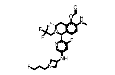 CNc1ccc2c(c1OC=O)C[C@@H](C)N(CC(F)(F)F)[C@@H]2c1ncc(NC2CN(CCCF)C2)cc1F